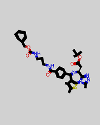 Cc1sc2c(c1C)C(c1ccc(C(=O)NCCCNC(=O)OCc3ccccc3)cc1)=N[C@@H](CC(=O)OC(C)(C)C)c1nnc(C)n1-2